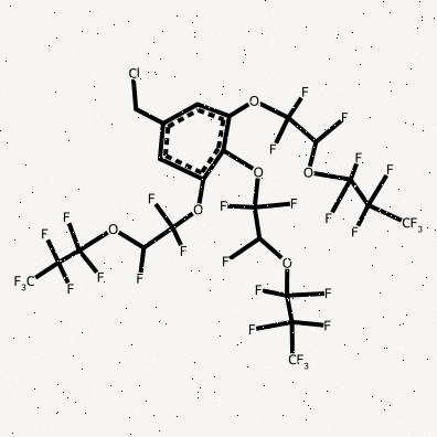 FC(OC(F)(F)C(F)(F)C(F)(F)F)C(F)(F)Oc1cc(CCl)cc(OC(F)(F)C(F)OC(F)(F)C(F)(F)C(F)(F)F)c1OC(F)(F)C(F)OC(F)(F)C(F)(F)C(F)(F)F